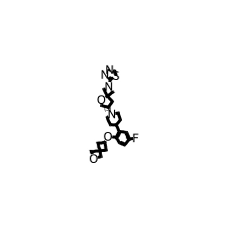 Fc1ccc(OC2CC3(COC3)C2)c(C2CCN([C@@H]3COC4(C3)CN(c3nncs3)C4)CC2)c1